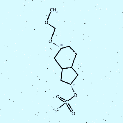 COCO[C@@H]1CCC2C[C@H](OS(C)(=O)=O)CC2C1